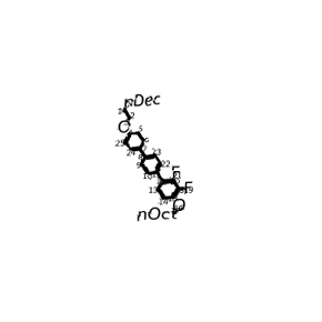 CCCCCCCCCCCCOc1ccc(-c2ccc(-c3ccc(OCCCCCCCC)c(F)c3F)cc2)cc1